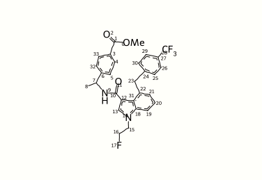 COC(=O)c1ccc(C(C)NC(=O)c2cn(CCF)c3cccc(Cc4ccc(C(F)(F)F)cc4)c23)cc1